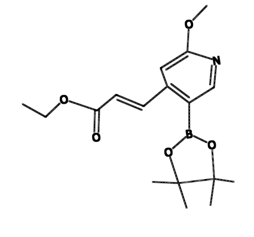 CCOC(=O)/C=C/c1cc(OC)ncc1B1OC(C)(C)C(C)(C)O1